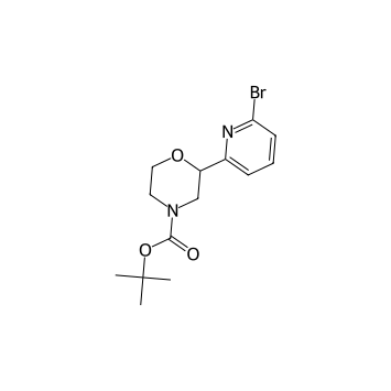 CC(C)(C)OC(=O)N1CCOC(c2cccc(Br)n2)C1